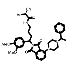 COc1ccc(C(CCCNC(=O)[C@H](C#N)C(C)=O)N2C(=O)c3cccc(N4CCN(C(C)c5ccccc5)CC4)c3C2=O)cc1OC